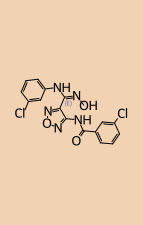 O=C(Nc1nonc1/C(=N\O)Nc1cccc(Cl)c1)c1cccc(Cl)c1